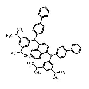 CC(C)c1cc(C(C)C)cc(N(c2ccc(-c3ccccc3)cc2)c2ccc(N(c3ccc(-c4ccccc4)cc3)c3cc(C(C)C)cc(C(C)C)c3)c3ccccc23)c1